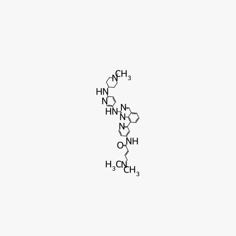 CN(C)CC=CC(=O)Nc1ccnc(-c2cccc3cnc(Nc4ccc(NC5CCN(C)CC5)nc4)nc23)c1